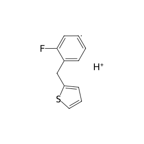 Fc1c[c]ccc1Cc1cccs1.[H+]